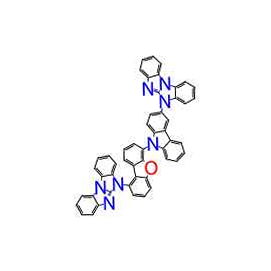 c1ccc2c(c1)nc1n(-c3ccc4c(c3)c3ccccc3n4-c3cccc4c3oc3cccc(-n5c6ccccc6n6c7ccccc7nc56)c34)c3ccccc3n21